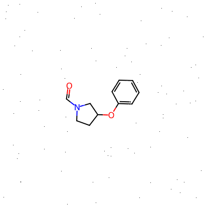 O=CN1CCC(Oc2ccccc2)C1